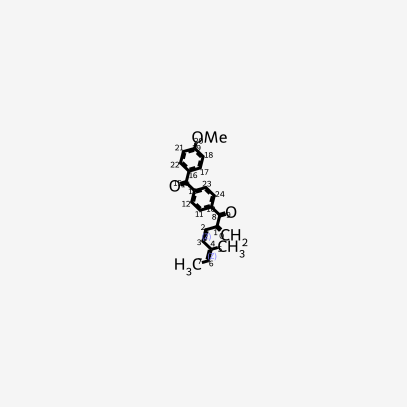 C=C(/C=C\C(C)=C/C)C(=O)c1ccc(C(=O)c2ccc(OC)cc2)cc1